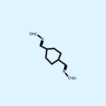 O=[C]N=CC1CCC(C=N[C]=O)CC1